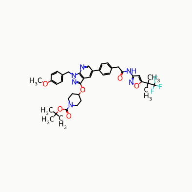 COc1ccc(Cn2nc(OC3CCN(C(=O)OC(C)(C)C)CC3)c3cc(-c4ccc(CC(=O)Nc5cc(C(C)(C)C(F)(F)F)on5)cc4)cnc32)cc1